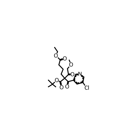 CCOC(=O)CCCC(C(=O)COC)(C(=O)OC(C)(C)C)C(=O)c1cncc(Cl)c1